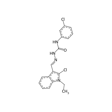 CCn1c(Cl)c(C=NNC(=O)Nc2cccc(Cl)c2)c2ccccc21